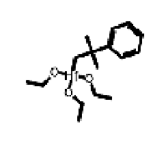 CC[O][Hf]([CH2]C(C)(C)c1ccccc1)([O]CC)[O]CC